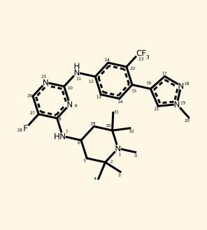 CN1C(C)(C)CC(Nc2nc(Nc3ccc(-c4cnn(C)c4)c(C(F)(F)F)c3)ncc2F)CC1(C)C